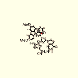 COc1ccc(C(OC(C(=O)C(C)C)[C@H]2O[C@@H](n3cnc4c(=O)[nH]c(N)nc43)C[C@@H]2OP(OCCC#N)N(C(C)C)C(C)C)(c2ccccc2)c2ccc(OC)cc2)cc1